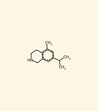 Cc1cc(C(C)C)cc2c1CCNC2